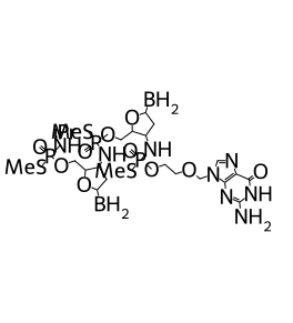 BC1CC(NP(=O)(OCC2OC(B)CC2NP(=O)(OCCOCn2cnc3c(=O)[nH]c(N)nc32)SC)SC)C(COP(=O)(NC(C)C)SC)O1